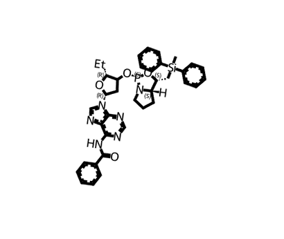 CC[C@H]1O[C@@H](n2cnc3c(NC(=O)c4ccccc4)ncnc32)CC1O[P@]1O[C@H](C[Si](C)(c2ccccc2)c2ccccc2)[C@@H]2CCCN21